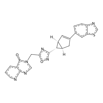 O=c1c2cccnc2ncn1Cc1nc([C@@H]2[C@H]3C=C(c4ccc5ncsc5c4)C[C@H]32)no1